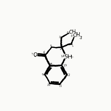 CCC1(CC)CC(=O)c2ccccc2[SH]1